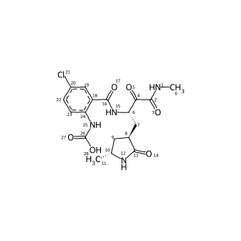 CNC(=O)C(=O)[C@H](C[C@@H]1C[C@@H](C)NC1=O)NC(=O)c1cc(Cl)ccc1NC(=O)O